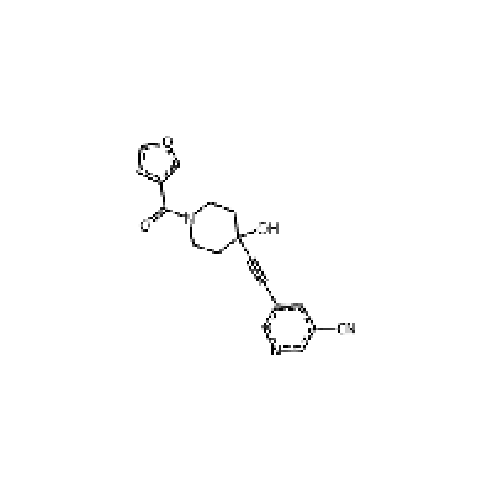 N#Cc1cncc(C#CC2(O)CCN(C(=O)c3ccoc3)CC2)c1